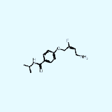 CC(C)NC(=O)c1ccc(OC/C(F)=C\CN)cc1